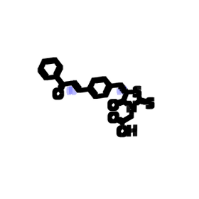 O=C(O)CN1C(=O)/C(=C\c2ccc(/C=C/C(=O)c3ccccc3)cc2)SC1=S